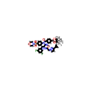 CC1(C)OB(c2ccc3c(=O)n(-c4ccc(S(=O)(=O)N5CCOCC5)cc4)c(C(Cc4cc(F)cc(F)c4)NC(=O)Cn4ccc(C5CC5)n4)nc3c2)OC1(C)C